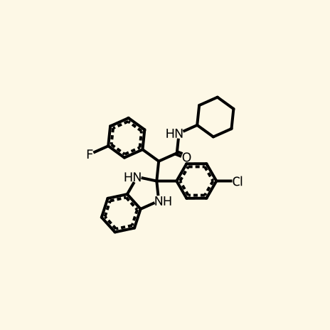 O=C(NC1CCCCC1)C(c1cccc(F)c1)C1(c2ccc(Cl)cc2)Nc2ccccc2N1